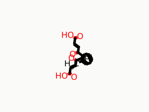 C[C]12[CH]3[CH]4[CH]5[C]1(C(=O)C=CC(=O)O)[Fe]43521678[CH]2[CH]1[CH]6[C]7(C(=O)C=CC(=O)O)[CH]28